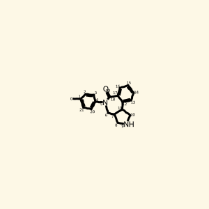 Cc1ccc(N2CC3CNCC3c3ccccc3C2=O)cc1